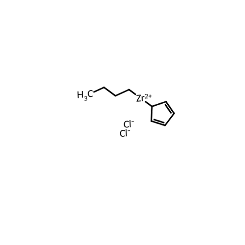 CCC[CH2][Zr+2][CH]1C=CC=C1.[Cl-].[Cl-]